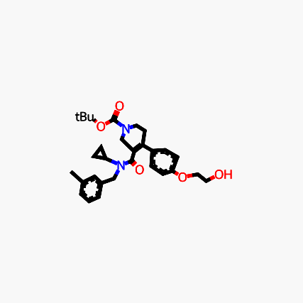 Cc1cccc(CN(C(=O)C2=C(c3ccc(OCCO)cc3)CCN(C(=O)OC(C)(C)C)C2)C2CC2)c1